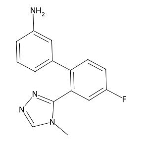 Cn1cnnc1-c1cc(F)ccc1-c1cccc(N)c1